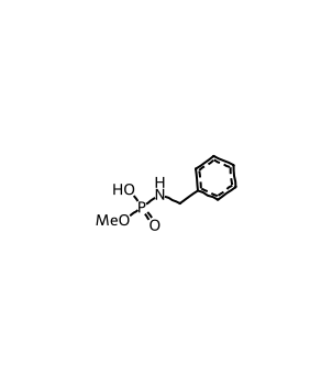 COP(=O)(O)NCc1ccccc1